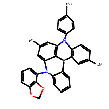 CC(C)c1cc2c3c(c1)N(c1cccc4c1OCO4)c1ccccc1B3c1cc(C(C)(C)C)ccc1N2c1ccc(C(C)(C)C)cc1